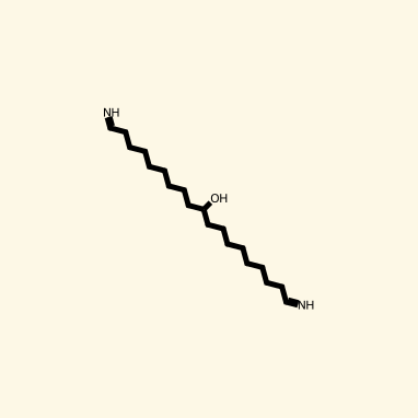 N=CCCCCCCCCC(O)CCCCCCCCC=N